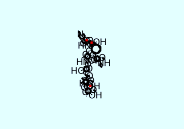 CCN[C@H]1CO[C@@H](O[C@H]2[C@H](O[C@H]3C#C/C=C\C#C[C@]4(O)CC(=O)C(NC(=O)OC)=C3/C4=C\CSSC3CCN(C)CC3)O[C@H](C)[C@@H](NO[C@H]3C[C@H](O)[C@H](SC(=O)c4c(C)c(I)c(O[C@@H]5O[C@@H](C)[C@H](O)[C@@H](OC)[C@H]5O)c(OC)c4OC)[C@@H](C)O3)[C@@H]2O)C[C@@H]1OC